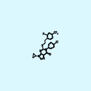 O=c1c2ncn(C3CC3)c2nc(SCCc2ccc(C(F)(F)F)cc2F)n1-c1ccc(Cl)cc1